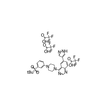 CC(C)(C)S(=O)(=O)c1cccc(N2CCN(c3ncnc4ccc(-c5cn[nH]c5)cc34)CC2)c1.O=C(O)C(F)(F)F.O=C(O)C(F)(F)F.O=C(O)C(F)(F)F